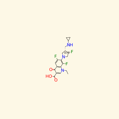 CCn1cc(C(=O)O)c(=O)c2cc(F)c(N3C[C@H](CNC4CC4)[C@H](F)C3)c(F)c21